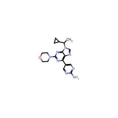 CC(C1CC1)n1cnc2c(-c3cnc(N)nc3)nc(N3CCOCC3)nc21